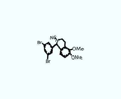 COc1ccc2c(c1OC)CCN(C#N)C2c1cc(Br)cc(Br)c1